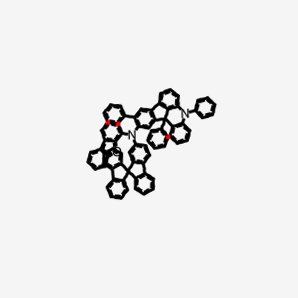 c1ccc(-c2cc3c(cc2N(c2ccc4c(c2)C2(c5ccccc5-c5ccccc52)c2ccccc2-4)c2cccc4c2oc2ccccc24)C2(c4ccccc4)c4ccccc4N(c4ccccc4)c4cccc-3c42)cc1